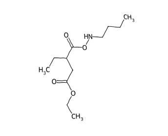 CCCCNOC(=O)C(CC)CC(=O)OCC